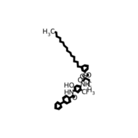 CCCCCCCCCCCCCCCc1cccc(S(=O)(=O)C(CC)C(=O)Nc2cc(O)c(NC(=O)c3ccc(-c4ccccc4)cc3)cc2Cl)c1